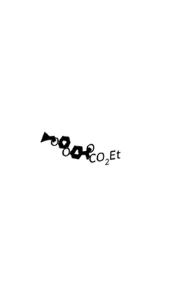 CCOC(=O)CC(=O)c1ccc(Oc2cccc(OCC3CC3)c2)cc1